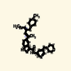 C=N/C=C(\C=C(/C)c1ccc2[nH]nc(C(=O)Nc3cncc(CN4CCOCC4)c3)c2c1)CN1CCN(C)CC1